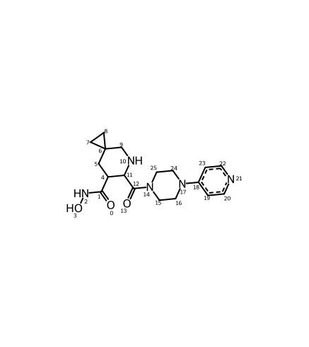 O=C(NO)C1CC2(CC2)CNC1C(=O)N1CCN(c2ccncc2)CC1